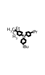 CCC(C)c1ccc(N(c2ccc(C(C)C)cc2)c2ccc(C(C)(C)CC)cc2)cc1